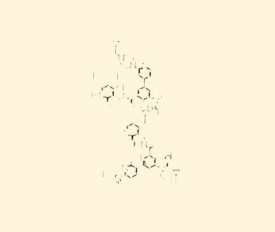 CCN(C(=O)C1CC1)c1cc(-c2ccc(N(C)C)nc2C)cc(C(=O)NCc2c(CC3CC3C(=O)N(CC)c3cc(-c4ccnc(N5CCN(CC6CC6)CC5)c4)cc(C(=O)NCc4c(C)cc(C)[nH]c4=O)c3C)cc(C)[nH]c2=O)c1C